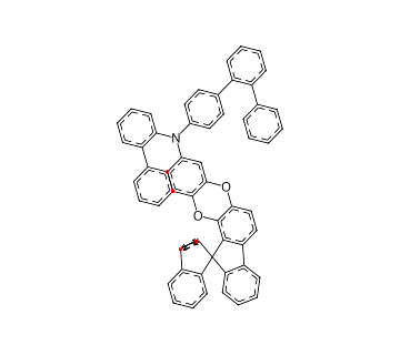 c1ccc(-c2ccccc2-c2ccc(N(c3ccc4c(c3)Oc3ccc5c(c3O4)C3(c4ccccc4-c4ccccc43)c3ccccc3-5)c3ccccc3-c3ccccc3)cc2)cc1